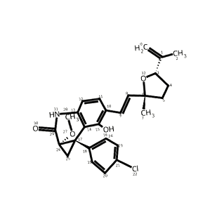 C=C(C)[C@@H]1CC[C@](C)(/C=C/c2ccc3c(c2O)[C@]2(c4ccc(Cl)cc4)C[C@@]2(OC)C(=O)N3)O1